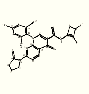 C=C(NC1=C(C)C(F)C1)C1=CN(c2c(F)cc(F)cc2Cl)c2nc(N3CCCC3=C)ccc2C1=C